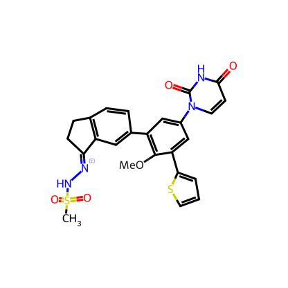 COc1c(-c2ccc3c(c2)/C(=N/NS(C)(=O)=O)CC3)cc(-n2ccc(=O)[nH]c2=O)cc1-c1cccs1